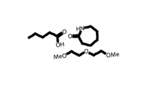 CCCCC(=O)O.COCCOCCOC.O=C1CCCCCN1